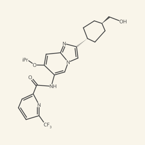 CC(C)Oc1cc2nc([C@H]3CC[C@H](CO)CC3)cn2cc1NC(=O)c1cccc(C(F)(F)F)n1